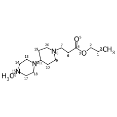 CCCOC(=O)CCN1CCC(N2CCN(C)CC2)CC1